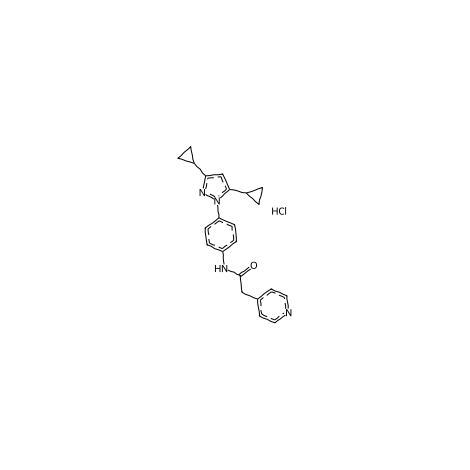 Cl.O=C(Cc1ccncc1)Nc1ccc(-n2nc(C3CC3)cc2C2CC2)cc1